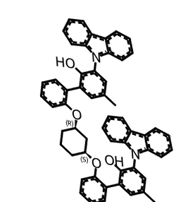 Cc1cc(-c2ccccc2O[C@@H]2CCC[C@H](Oc3ccccc3-c3cc(C)cc(-n4c5ccccc5c5ccccc54)c3O)C2)c(O)c(-n2c3ccccc3c3ccccc32)c1